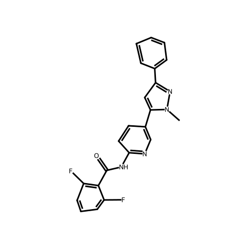 Cn1nc(-c2ccccc2)cc1-c1ccc(NC(=O)c2c(F)cccc2F)nc1